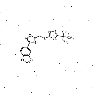 CC(C)(C)c1nnc(SCc2nc(-c3ccc4c(c3)OCO4)no2)o1